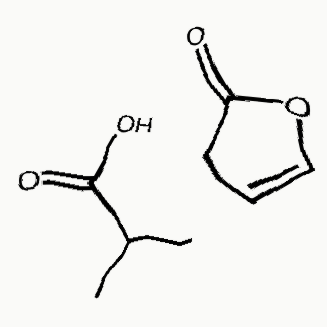 CC(C)C(=O)O.O=C1CC=CO1